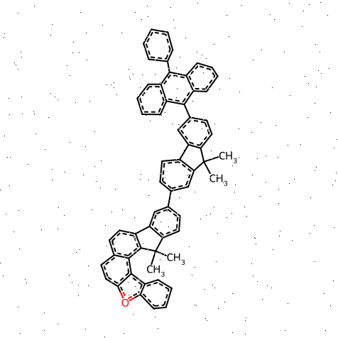 CC1(C)c2ccc(-c3c4ccccc4c(-c4ccccc4)c4ccccc34)cc2-c2ccc(-c3ccc4c(c3)-c3ccc5ccc6oc7ccccc7c6c5c3C4(C)C)cc21